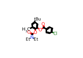 CCN(CC)C(=O)Oc1c(C)cc(C(C)(C)C)cc1OC(=O)c1ccc(Cl)cc1